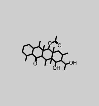 CC(=O)OC1C2(C)C(C)C3CCCC(C)C3C(=O)C2C(C)C2(C)C(O)C(C(C)O)C(C)CC12C